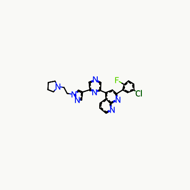 Fc1ccc(Cl)cc1-c1cc(-c2cncc(-c3cnn(CCN4CCCC4)c3)n2)c2cccnc2n1